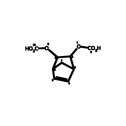 O=C(O)OC1C2C=CC(C2)C1OC(=O)O